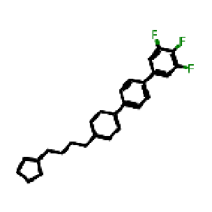 Fc1cc(-c2ccc(C3CCC(CCCCC4CCCC4)CC3)cc2)cc(F)c1F